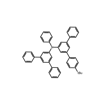 CC(C)(C)c1ccc(-c2cc(-c3ccccc3)cc(N(c3ccccc3)c3cc(-c4ccccc4)cc(-c4ccccc4)c3)c2)cc1